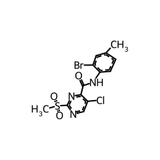 Cc1ccc(NC(=O)c2nc(S(C)(=O)=O)ncc2Cl)c(Br)c1